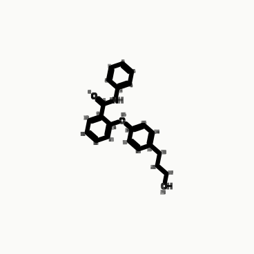 O=C(Nc1ccccc1)c1ccccc1Oc1ccc(CCCO)cc1